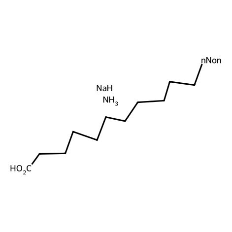 CCCCCCCCCCCCCCCCCCCC(=O)O.N.[NaH]